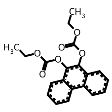 CCOC(=O)Oc1c(OC(=O)OCC)c2ccccc2c2ccccc12